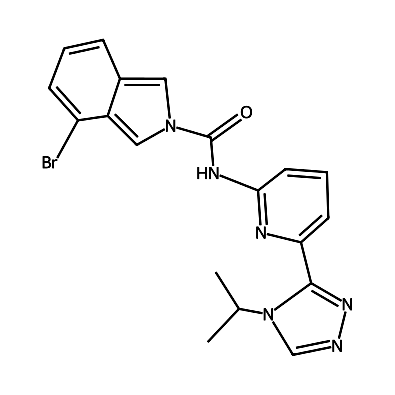 CC(C)n1cnnc1-c1cccc(NC(=O)n2cc3cccc(Br)c3c2)n1